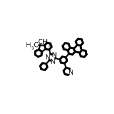 CC1(C)c2ccccc2-c2c(-c3nc(-c4ccccc4)nc(-c4cc(-c5cccnc5)cc(-c5cc6c7ccccc7c7ccccc7c6c6ccccc56)c4)n3)cccc21